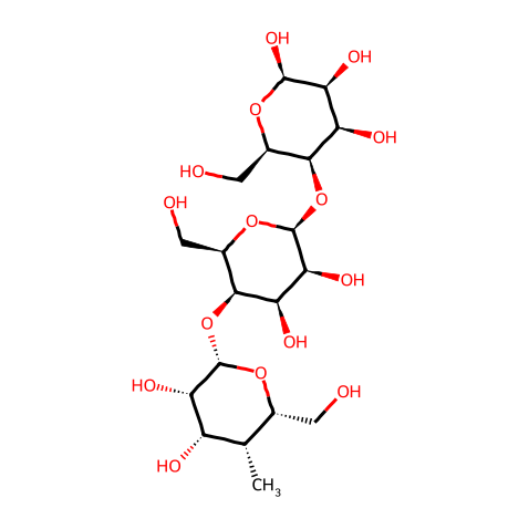 C[C@@H]1[C@H](O)[C@H](O)[C@H](O[C@@H]2[C@H](O)[C@H](O)[C@H](O[C@@H]3[C@H](O)[C@H](O)[C@H](O)O[C@@H]3CO)O[C@@H]2CO)O[C@@H]1CO